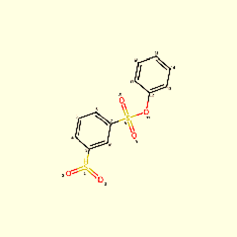 O=[SH](=O)c1cccc(S(=O)(=O)Oc2ccccc2)c1